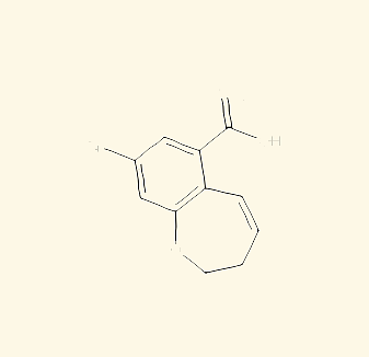 C=C(O)c1cc(Br)cc2c1C=CCCO2